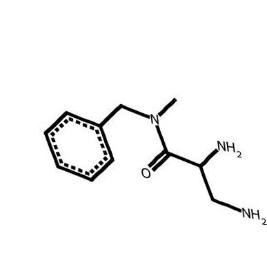 CN(Cc1ccccc1)C(=O)C(N)CN